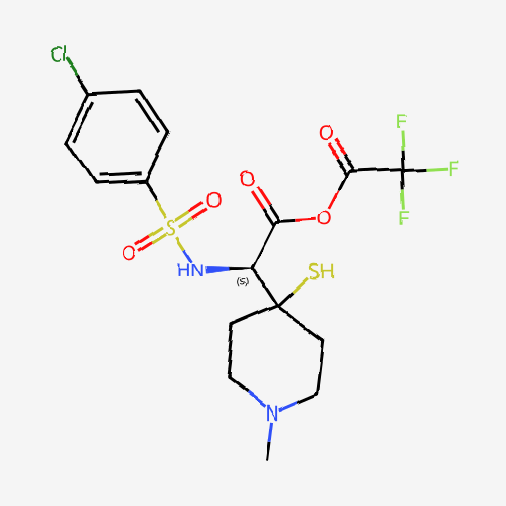 CN1CCC(S)([C@@H](NS(=O)(=O)c2ccc(Cl)cc2)C(=O)OC(=O)C(F)(F)F)CC1